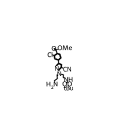 COC(=O)c1ccc(-c2cnc(N(CCCN)CCNC(=O)OC(C)(C)C)c(C#N)c2)cc1Cl